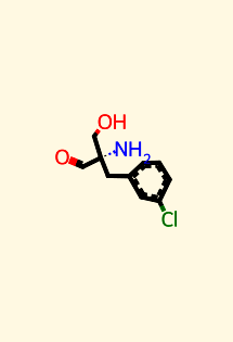 N[C@](C=O)(CO)Cc1cccc(Cl)c1